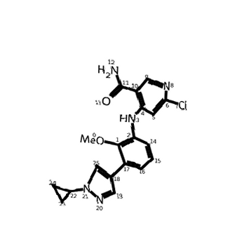 COc1c(Nc2cc(Cl)ncc2C(N)=O)cccc1-c1cnn(C2CC2)c1